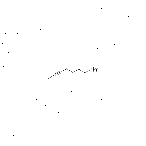 CC#CCCCCC[CH]C